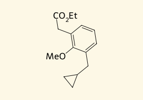 CCOC(=O)Cc1cccc(CC2CC2)c1OC